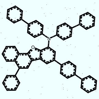 c1ccc(-c2ccc(-c3cc(N(c4ccc(-c5ccccc5)cc4)c4ccc(-c5ccccc5)cc4)c4oc5c6ccccc6c(-c6ccccc6)cc5c4c3)cc2)cc1